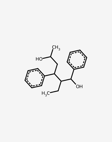 CCC(C(O)c1ccccc1)C(CC(C)O)c1ccccc1